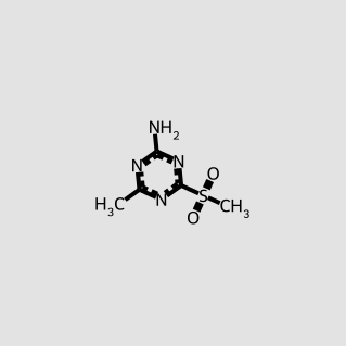 Cc1nc(N)nc(S(C)(=O)=O)n1